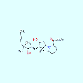 CC#CCC(C)(C)[C@H](O)/C=C/[C@H]1[C@H](O)CC2[C@@H]1CC1CCCC(C(=O)OC)N12